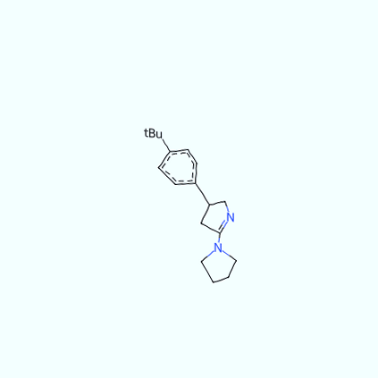 CC(C)(C)c1ccc(C2CN=C(N3CCCC3)C2)cc1